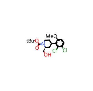 COc1ccc(Cl)c(Cl)c1[C@@H]1CCN(C(=O)OC(C)(C)C)[C@H](CO)C1